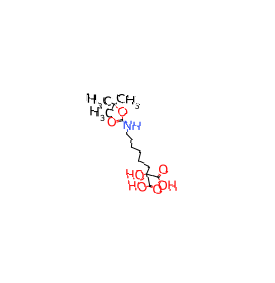 CC(C)(C)OC(=O)NCCCCCCC(O)(C(=O)O)C(=O)O